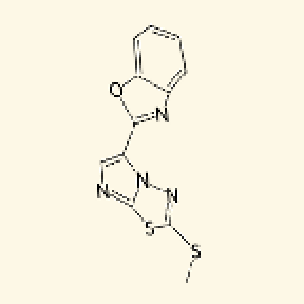 CSc1nn2c(-c3nc4ccccc4o3)cnc2s1